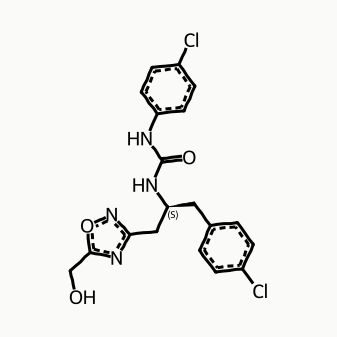 O=C(Nc1ccc(Cl)cc1)N[C@@H](Cc1ccc(Cl)cc1)Cc1noc(CO)n1